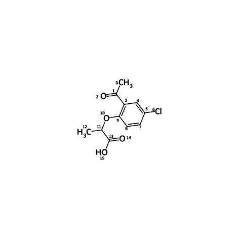 CC(=O)c1cc(Cl)ccc1OC(C)C(=O)O